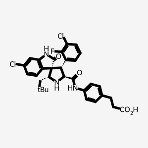 CC(C)(C)C[C@H]1N[C@H](C(=O)Nc2ccc(CCC(=O)O)cc2)[C@@H](c2cccc(Cl)c2F)[C@@]12C(=O)Nc1cc(Cl)ccc12